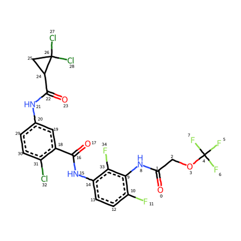 O=C(COC(F)(F)F)Nc1c(F)ccc(NC(=O)c2cc(NC(=O)C3CC3(Cl)Cl)ccc2Cl)c1F